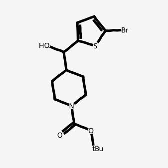 CC(C)(C)OC(=O)N1CCC(C(O)c2ccc(Br)s2)CC1